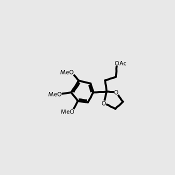 COc1cc(C2(CCOC(C)=O)OCCO2)cc(OC)c1OC